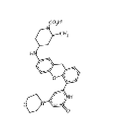 CC1CC(Nc2ccc3c(c2)Cc2cccc(-c4cc(N5CCOCC5)cc(=O)[nH]4)c2O3)CCN1C(=O)O